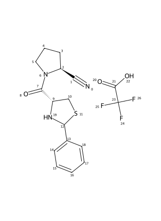 N#C[C@@H]1CCCN1C(=O)[C@@H]1CSC(c2ccccc2)N1.O=C(O)C(F)(F)F